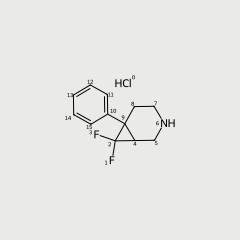 Cl.FC1(F)C2CNCCC21c1ccccc1